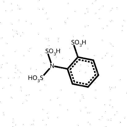 O=S(=O)(O)c1ccccc1N(S(=O)(=O)O)S(=O)(=O)O